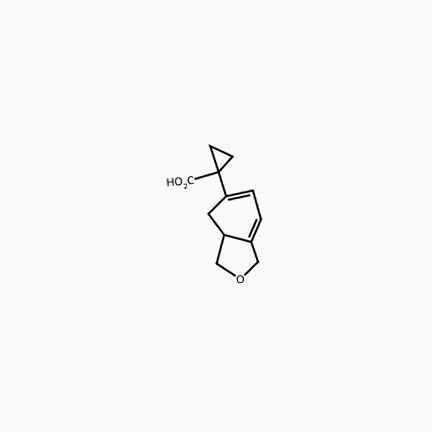 O=C(O)C1(C2=CC=C3COCC3C2)CC1